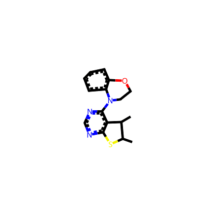 CC1Sc2ncnc(N3CCOc4ccccc43)c2C1C